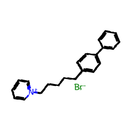 [Br-].c1ccc(-c2ccc(CCCCC[n+]3ccccc3)cc2)cc1